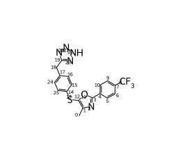 Cc1nc(-c2ccc(C(F)(F)F)cc2)oc1Sc1ccc(Cc2nn[nH]n2)cc1